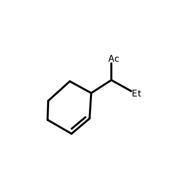 CCC(C(C)=O)C1C=CCCC1